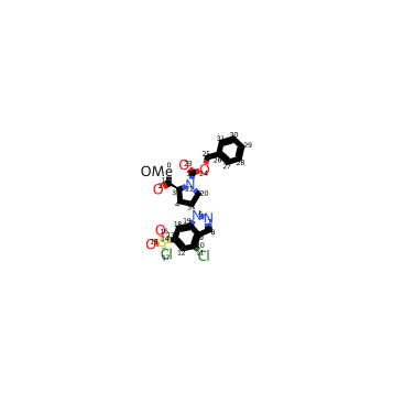 COC(=O)[C@@H]1C[C@@H](n2ncc3c(Cl)cc(S(=O)(=O)Cl)cc32)CN1C(=O)OCc1ccccc1